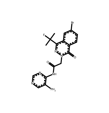 CC(C)(F)c1nn(CC(=O)Nc2ncncc2P)c(=O)c2ccc(Br)cc12